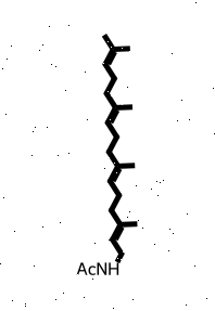 CC(=O)NC/C=C(\C)CC/C=C(\C)CC/C=C(\C)CCC=C(C)C